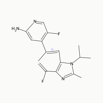 C=C(F)c1nc(C)n(C(C)C)c1/C=C(\C)c1cc(N)ncc1F